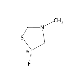 CN1CS[C@@H](F)C1